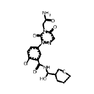 NC(=O)Cn1c(=O)cnn(-c2ccc(Cl)c(C(=O)NC(O)C3CCCCC3)c2)c1=O